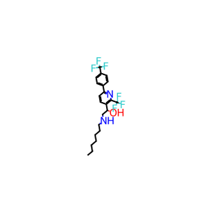 CCCCCCCNC[C@H](O)c1ccc(-c2ccc(C(F)(F)F)cc2)nc1C(F)(F)F